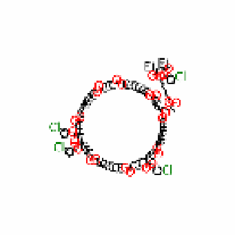 CCC(C(=O)OCCCCCCOC(=O)C(C)CCC1CCC(=O)OCCCCCCOC(=O)CCCC(=O)OCCCCCCOC(=O)CCC(C(=O)Oc2cccc(Cl)c2)CC(C(=O)Oc2cccc(Cl)c2)CCCC(=O)OCCCCCCOC(=O)CCCC(C(=O)Oc2cccc(Cl)c2)CCC(=O)OCCCCCCOC1=O)C(CC)C(=O)Oc1cccc(Cl)c1